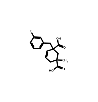 CC1(C(=O)O)CC=CC(Cc2cccc(F)c2)(C(=O)O)C1